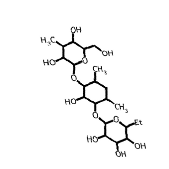 CCC1OC(OC2C(C)CC(C)C(OC3OC(CO)C(O)C(C)C3O)C2O)C(O)C(O)C1O